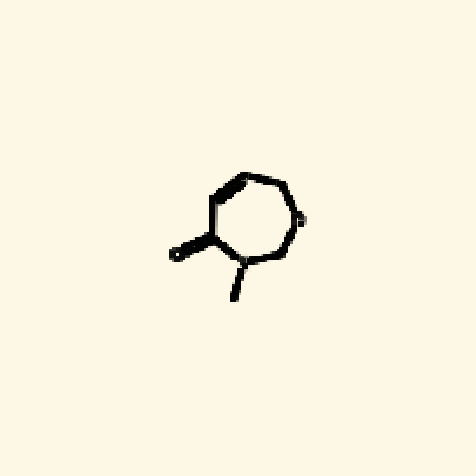 CN1COCC=CC1=O